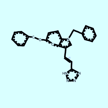 C(=C\c1cn(Cc2ccccc2)c2ccc(OCc3ccccc3)cc12)/c1nnn[nH]1